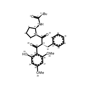 CC[C@H](C)C(=O)N[C@@H]1CCCN1C(=O)[C@H](Cc1ccccc1)C(=O)c1c(O)cc(OC)cc1OC